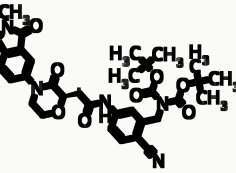 CN1Cc2ccc(N3CCO[C@H]([CH]C(=O)Nc4ccc(C#N)c(CN(C(=O)OC(C)(C)C)C(=O)OC(C)(C)C)c4)C3=O)cc2C1=O